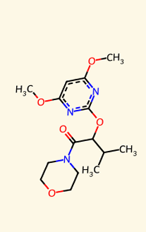 COc1cc(OC)nc(OC(C(=O)N2CCOCC2)C(C)C)n1